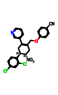 N#Cc1ccc(OCC2=C(c3cccnc3)C[C@H](c3ccc(Cl)cc3Cl)[C@@H]([N+](=O)[O-])C2)cc1